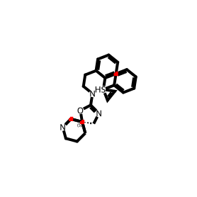 C1=C[SH]12(c1ccccc1)c1ccccc1CCN2C1=NC[C@]2(CN3CCC2CC3)O1